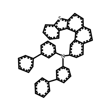 c1ccc(-c2cccc(N(c3cccc(-c4ccccc4)c3)c3ccc4ccc5ccc6sc7ccccc7c6c5c4c3)c2)cc1